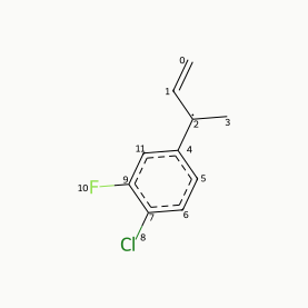 C=C[C](C)c1ccc(Cl)c(F)c1